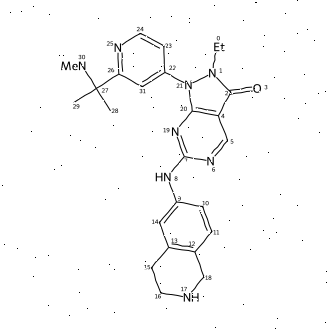 CCn1c(=O)c2cnc(Nc3ccc4c(c3)CCNC4)nc2n1-c1ccnc(C(C)(C)NC)c1